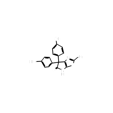 CC(C)c1nc2c(s1)NC(=O)C2(c1ccc(O)cc1)c1ccc(O)cc1